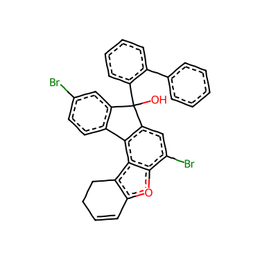 OC1(c2ccccc2-c2ccccc2)c2cc(Br)ccc2-c2c1cc(Br)c1oc3c(c21)CCC=C3